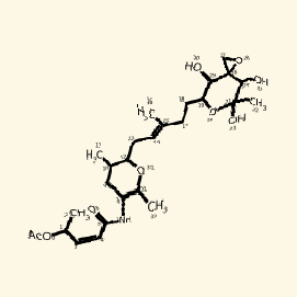 CC(=O)OC(C)/C=C\C(=O)NC1CC(C)C(C/C=C(\C)CCC2OC(C)(O)C(O)C3(CO3)C2O)OC1C